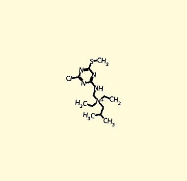 CC[N+](CC)(CNc1nc(Cl)nc(SC)n1)CC(C)C